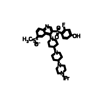 CC(C)N1CCN(C2CCN(C3CCN(c4c(S(=O)(=O)c5ccc(O)cc5F)cnc5ccc([S+](C)[O-])cc45)CC3)CC2)CC1